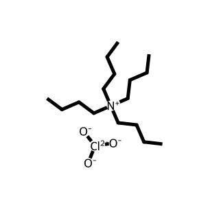 CCCC[N+](CCCC)(CCCC)CCCC.[O-][Cl+2]([O-])[O-]